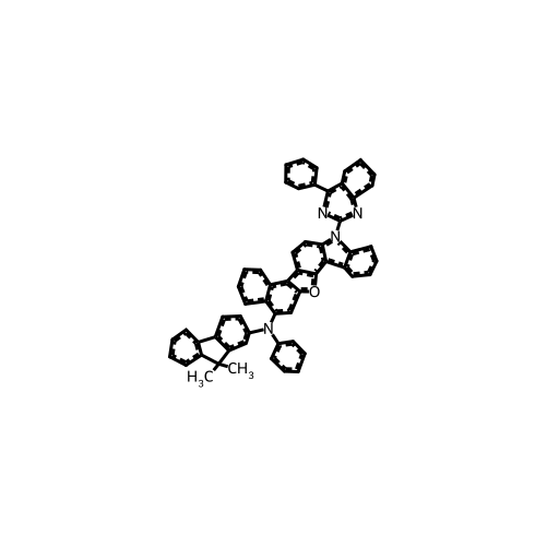 CC1(C)c2ccccc2-c2ccc(N(c3ccccc3)c3cc4oc5c(ccc6c5c5ccccc5n6-c5nc(-c6ccccc6)c6ccccc6n5)c4c4ccccc34)cc21